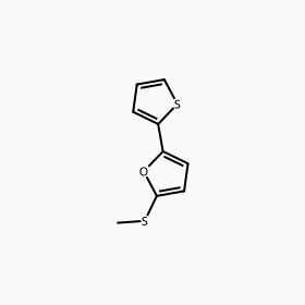 CSc1ccc(-c2cccs2)o1